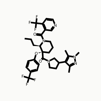 CCC[C@H]1N(C(=O)c2cnccc2C(F)(F)F)CCC[C@@]1(Oc1ccc(C(F)(F)F)cc1)C(=O)N1CCC(c2c(C)nn(C)c2C)C1